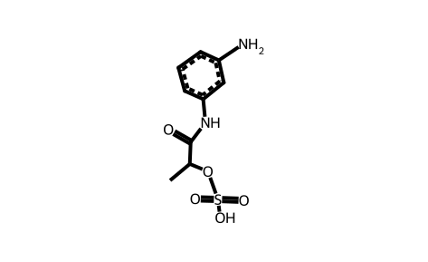 CC(OS(=O)(=O)O)C(=O)Nc1cccc(N)c1